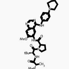 CN[C@@H](C)C(=O)N[C@H](C(=O)N1CCCC1C(=O)Nc1cc2c(Nc3ccc(N4CCCCC4)cc3)ncnc2cc1OC)C(C)(C)C